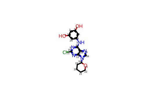 Oc1cc(O)cc(Nc2nc(Cl)nc3c2ncn3C2CCCCO2)c1